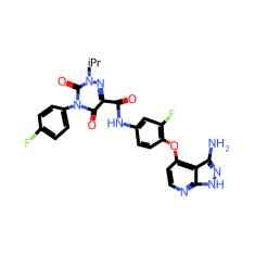 CC(C)n1nc(C(=O)Nc2ccc(Oc3ccnc4[nH]nc(N)c34)c(F)c2)c(=O)n(-c2ccc(F)cc2)c1=O